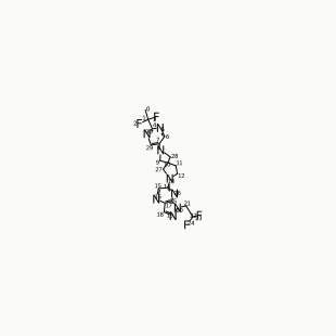 CC(F)(F)c1ncc(N2CC3(CCN(c4cnc5cnn(CC(F)F)c5n4)C3)C2)cn1